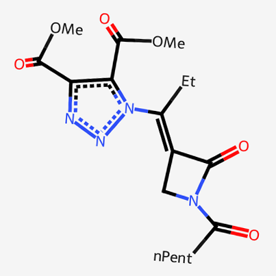 CCCCCC(=O)N1C/C(=C(/CC)n2nnc(C(=O)OC)c2C(=O)OC)C1=O